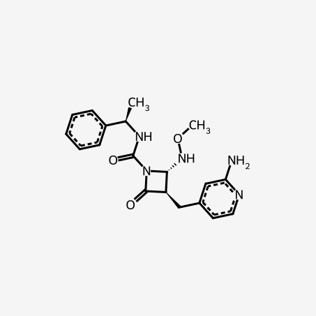 CON[C@@H]1[C@@H](Cc2ccnc(N)c2)C(=O)N1C(=O)N[C@H](C)c1ccccc1